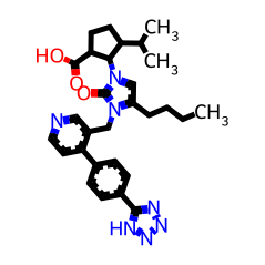 CCCCc1cn(C2C(C(=O)O)CCC2C(C)C)c(=O)n1Cc1cnccc1-c1ccc(-c2nnn[nH]2)cc1